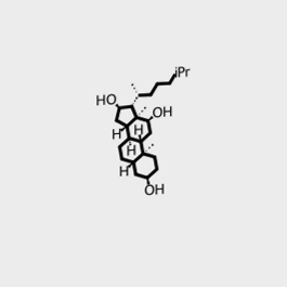 CC(C)CCC[C@@H](C)[C@H]1[C@H](O)C[C@H]2[C@@H]3CC[C@H]4C[C@H](O)CC[C@]4(C)[C@H]3C[C@H](O)[C@]12C